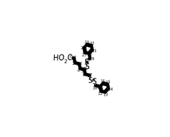 O=C(O)CCCCC(CCSSCc1ccccc1)SSCc1ccccc1